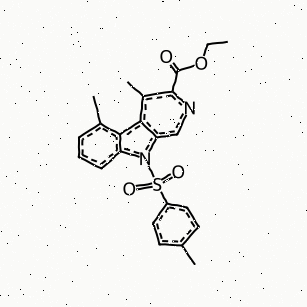 CCOC(=O)c1ncc2c(c1C)c1c(C)cccc1n2S(=O)(=O)c1ccc(C)cc1